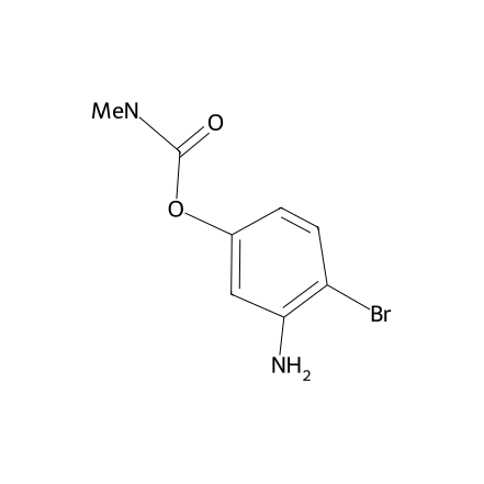 CNC(=O)Oc1ccc(Br)c(N)c1